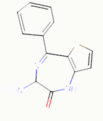 NC1N=C(c2ccccc2)c2sccc2NC1=O